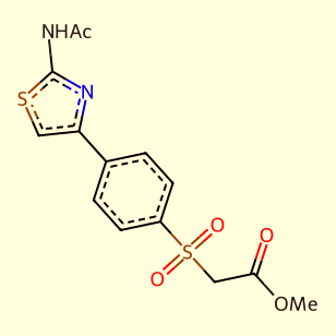 COC(=O)CS(=O)(=O)c1ccc(-c2csc(NC(C)=O)n2)cc1